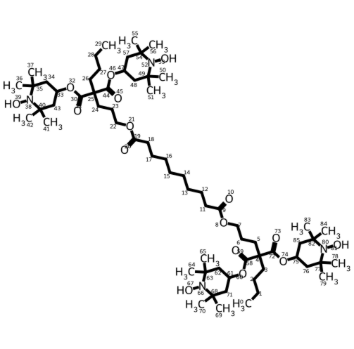 CCCCC(CCCOC(=O)CCCCCCCCC(=O)OCCCC(CCCC)(C(=O)OC1CC(C)(C)N(O)C(C)(C)C1)C(=O)OC1CC(C)(C)N(O)C(C)(C)C1)(C(=O)OC1CC(C)(C)N(O)C(C)(C)C1)C(=O)OC1CC(C)(C)N(O)C(C)(C)C1